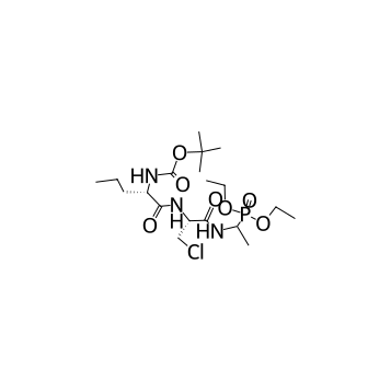 CCC[C@H](NC(=O)OC(C)(C)C)C(=O)N[C@@H](CCl)C(=O)NC(C)P(=O)(OCC)OCC